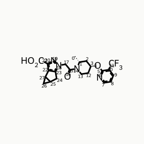 C[C@@H]1C[C@H](Oc2ncccc2C(F)(F)F)CCN1C(=O)Cn1nc(C(=O)O)c2c1CC1CC21